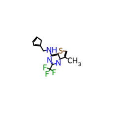 Cc1csc2c(NCC3=CC=CC3)nc(C(F)(F)F)nc12